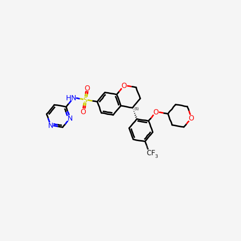 O=S(=O)(Nc1ccncn1)c1ccc2c(c1)OCC[C@@H]2c1ccc(C(F)(F)F)cc1OC1CCOCC1